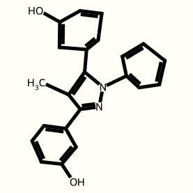 Cc1c(-c2cccc(O)c2)nn(-c2ccccc2)c1-c1cccc(O)c1